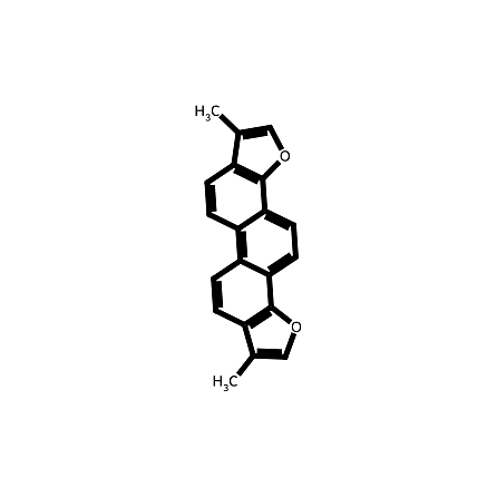 Cc1coc2c1ccc1c3ccc4c(C)coc4c3ccc12